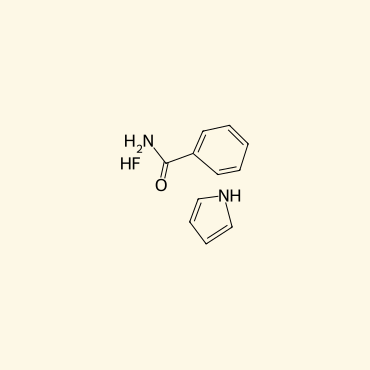 F.NC(=O)c1ccccc1.c1cc[nH]c1